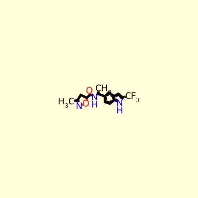 CC1=NOC(C(=O)NC(C)c2ccc3[nH]c(C(F)(F)F)cc3c2)C1